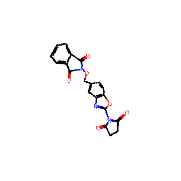 O=C1c2ccccc2C(=O)N1OCc1ccc2oc(N3C(=O)CCC3=O)nc2c1